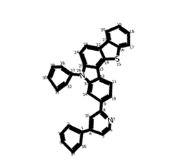 c1ccc(-c2ccnc(-c3ccc4c5c6sc7ccccc7c6ccc5n(-c5ccccc5)c4c3)c2)cc1